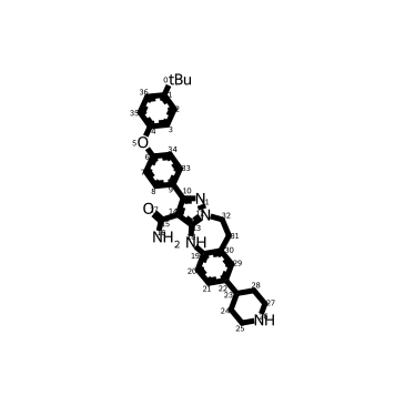 CC(C)(C)c1ccc(Oc2ccc(-c3nn4c(c3C(N)=O)Nc3ccc(C5CCNCC5)cc3CC4)cc2)cc1